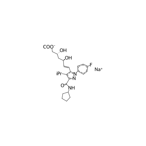 CC(C)c1c(C(=O)NC2CCCC2)nn(-c2ccc(F)cc2)c1C=C[C@H](O)C[C@@H](O)CC(=O)[O-].[Na+]